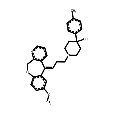 COc1ccc2c(c1)/C(=C/CCN1CCC(O)(c3ccc(C)cc3)CC1)c1cccnc1CO2